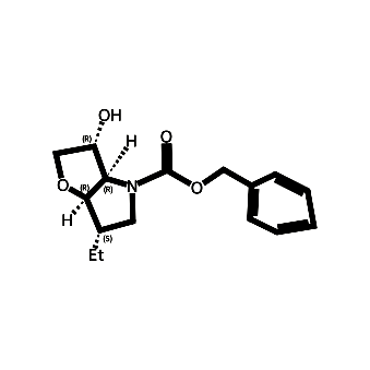 CC[C@H]1CN(C(=O)OCc2ccccc2)[C@H]2[C@@H]1OC[C@@H]2O